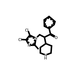 Cc1nc(Cl)c(Cl)n1CC(C(=O)c1ccccc1)C1CCNCC1